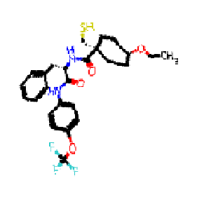 CCO[C@H]1CC[C@@](CS)(C(=O)N[C@@H](Cc2ccccc2)C(=O)Nc2ccc(OC(F)(F)F)cc2)CC1